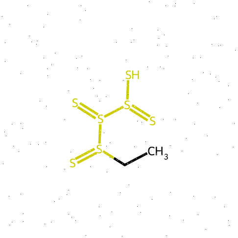 CCS(=S)S(=S)S(=S)S